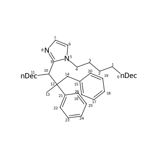 CCCCCCCCCCCCCCn1ccnc1C(CCCCCCCCCC)C(C)(Cc1ccccc1)c1ccccc1